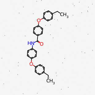 CCc1ccc(Oc2ccc(NC(=O)c3ccc(Oc4ccc(CC)cc4)cc3)cc2)cc1